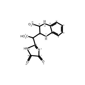 O=C1N=C(C(C(=O)O)C2Nc3ccccc3NC2[N+](=O)[O-])NC1=O